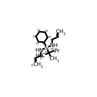 C=CCN[Si](NCC=C)(C1CCCCC1)C(C)(C)C(C)C